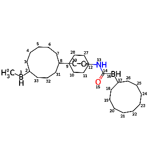 CBC1CCCCCC(C23CCC(NC(=O)BC4CCCCCCCCC4)(CC2)CC3)CCC1